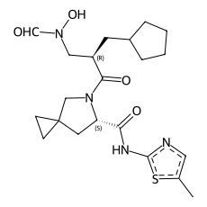 Cc1cnc(NC(=O)[C@@H]2CC3(CC3)CN2C(=O)[C@H](CC2CCCC2)CN(O)C=O)s1